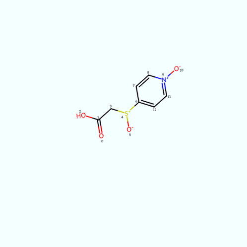 O=C(O)C[S+]([O-])c1cc[n+]([O-])cc1